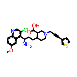 COc1ccc2ncc(Cl)c(C(N)CCC3CCN(CC#Cc4ccsc4)CC3C(=O)O)c2c1